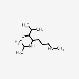 CNCCCC(NC(C)C)C(=O)C(C)C